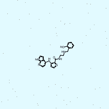 O=C(NCCNCc1ccccc1O)c1sccc1Nc1ccnc2[nH]ccc12